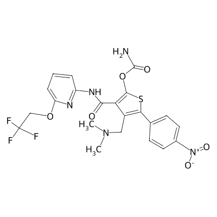 CN(C)Cc1c(-c2ccc([N+](=O)[O-])cc2)sc(OC(N)=O)c1C(=O)Nc1cccc(OCC(F)(F)F)n1